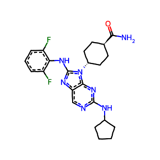 NC(=O)[C@H]1CC[C@H](n2c(Nc3c(F)cccc3F)nc3cnc(NC4CCCC4)nc32)CC1